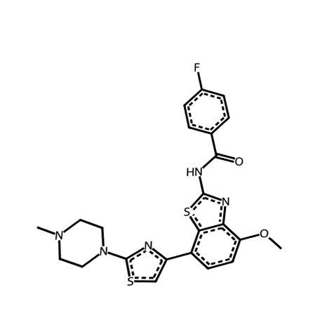 COc1ccc(-c2csc(N3CCN(C)CC3)n2)c2sc(NC(=O)c3ccc(F)cc3)nc12